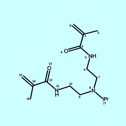 C=C(C)C(=O)NCCN(CCNC(=O)C(=C)C)C(C)C